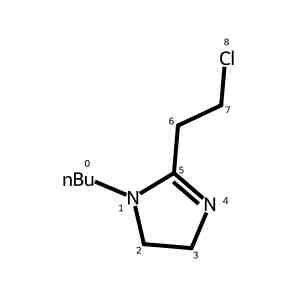 CCCCN1CCN=C1CCCl